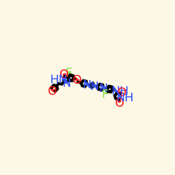 O=C1CCC(Nc2ccc(N3CCC(N4CC(N5CCC(COc6cc(F)c7c(=O)[nH]c(CCC8CCOCC8)nc7c6)CC5)C4)CC3)c(F)c2)C(=O)N1